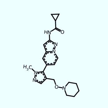 Cn1ncc(CON2CCCCC2)c1-c1ccn2nc(NC(=O)C3CC3)cc2c1